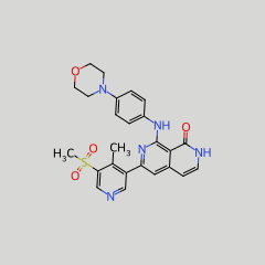 Cc1c(-c2cc3cc[nH]c(=O)c3c(Nc3ccc(N4CCOCC4)cc3)n2)cncc1S(C)(=O)=O